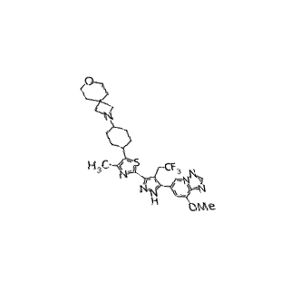 COc1cc(-c2[nH]nc(-c3nc(C)c(C4CCC(N5CC6(CCOCC6)C5)CC4)s3)c2CC(F)(F)F)cn2ncnc12